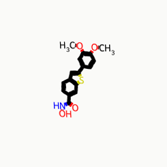 COc1ccc(-c2cc3ccc(C(=O)NO)cc3s2)cc1OC